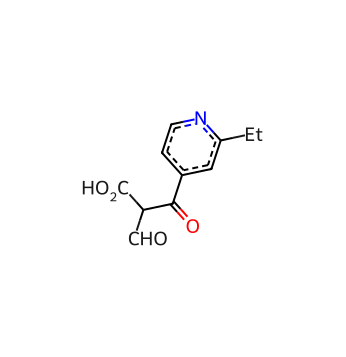 CCc1cc(C(=O)C(C=O)C(=O)O)ccn1